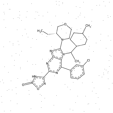 CC[C@@H]1COCCN1c1nc2nc(-c3noc(=O)[nH]3)nc(-c3cccc(Cl)c3)c2n1C(C)C1CCC(C)CC1